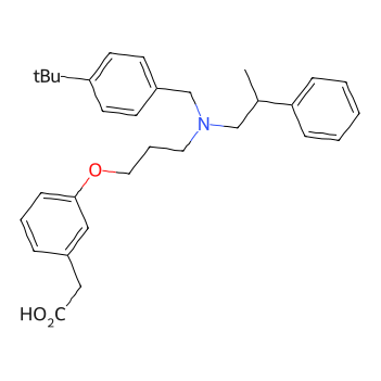 CC(CN(CCCOc1cccc(CC(=O)O)c1)Cc1ccc(C(C)(C)C)cc1)c1ccccc1